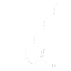 Cc1ccc(C)c(OCCCC(C)C)c1